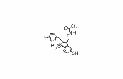 CC(=O)NCCc1c(Cc2ccc(F)cc2)n(C)c2ncc(S)cc12